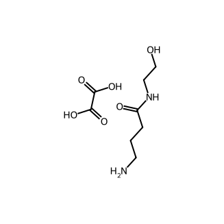 NCCCC(=O)NCCO.O=C(O)C(=O)O